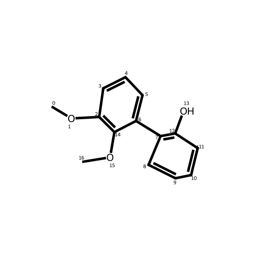 COc1cccc(-c2ccc[c]c2O)c1OC